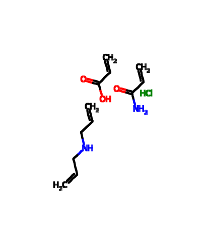 C=CC(=O)O.C=CC(N)=O.C=CCNCC=C.Cl